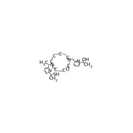 C=C(O)c1cccc(CN2CCCCCCCCN(C(C)c3cccc(C(=C)S)n3)CCCCCOCC2)n1